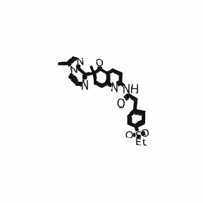 CCS(=O)(=O)c1ccc(CC(=O)Nc2ccc3c(n2)CCC(C)(c2nccn4c(C)cnc24)C3=O)cc1